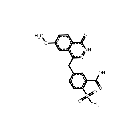 COc1ccc2c(=O)[nH]nc(Cc3ccc(S(C)(=O)=O)c(C(=O)O)c3)c2c1